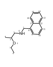 CCOC(C)CNCc1cccc2ccccc12